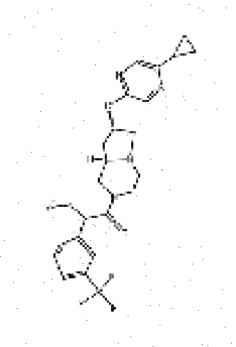 CNC(C(=O)N1CCN2C[C@H](Oc3cnc(C4CC4)cn3)C[C@H]2C1)c1cccc(C(F)(F)F)c1